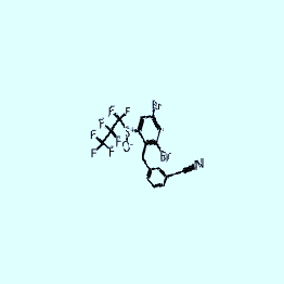 N#Cc1cccc(Cc2c(Br)[c]c(Br)cc2[S+]([O-])C(F)(F)C(F)(F)C(F)(F)F)c1